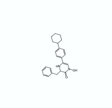 O=C1C(Cc2ccccc2)NC(c2ccc(C3CCCCC3)cc2)=CN1O